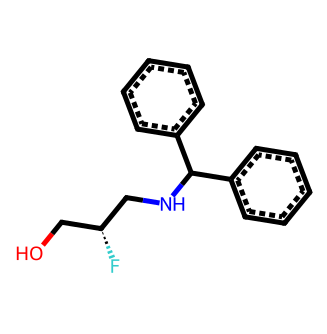 OC[C@@H](F)CNC(c1ccccc1)c1ccccc1